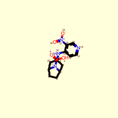 O=C(O)N1C2CCC1CC(Nc1ccncc1[N+](=O)[O-])C2